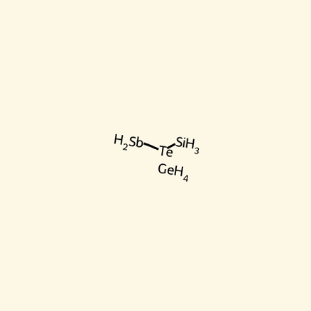 [GeH4].[SiH3][Te][SbH2]